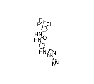 Cn1cc(-c2nccc(Nc3ccc(NC(=O)Nc4ccc(Cl)c(C(F)(F)F)c4)cc3)n2)cn1